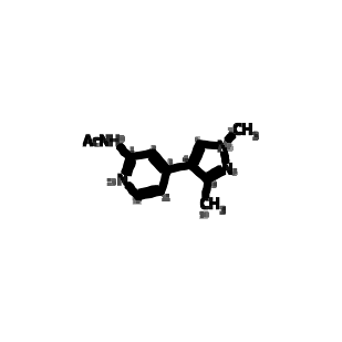 CC(=O)Nc1cc(-c2cn(C)nc2C)ccn1